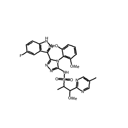 COc1cccc(OC)c1-n1c(NS(=O)(=O)C(C)C(OC)c2ncc(C)cn2)nnc1-c1n[nH]c2ccc(F)cc12